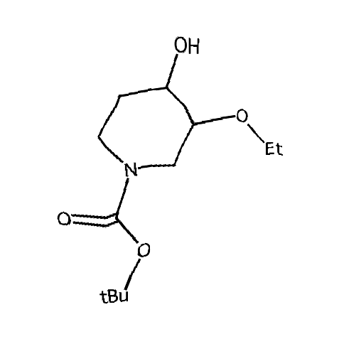 CCOC1CN(C(=O)OC(C)(C)C)CCC1O